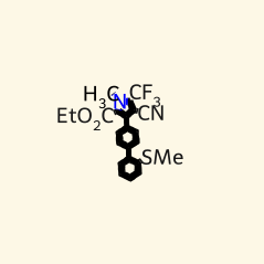 CCOC(=O)c1c(-c2ccc(-c3ccccc3SC)cc2)c(C#N)c(C(F)(F)F)n1C